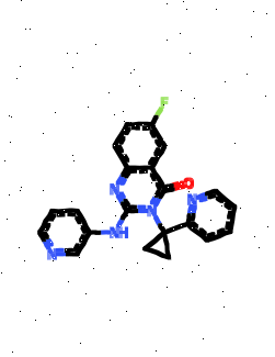 O=c1c2cc(F)ccc2nc(Nc2cccnc2)n1C1(c2ccccn2)CC1